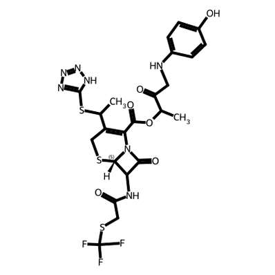 CC(OC(=O)C1=C(C(C)Sc2nnn[nH]2)CS[C@H]2C(NC(=O)CSC(F)(F)F)C(=O)N12)C(=O)CNc1ccc(O)cc1